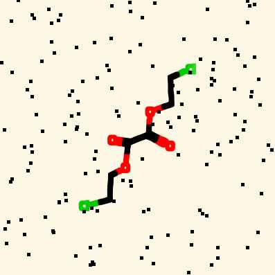 O=C(OCCCl)C(=O)OCCCl